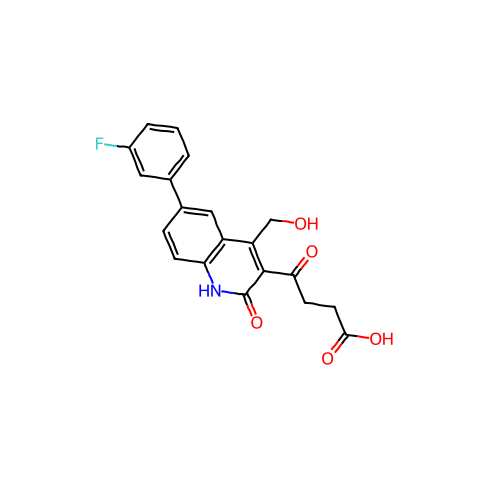 O=C(O)CCC(=O)c1c(CO)c2cc(-c3cccc(F)c3)ccc2[nH]c1=O